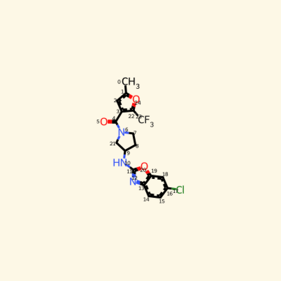 Cc1cc(C(=O)N2CCC(Nc3nc4ccc(Cl)cc4o3)C2)c(C(F)(F)F)o1